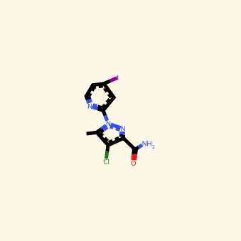 Cc1c(Cl)c(C(N)=O)nn1-c1cc(I)ccn1